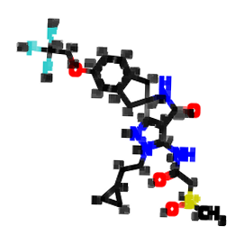 C[S+]([O-])CC(=O)Nc1c2c(nn1CCC1CC1)C1(Cc3ccc(OCC(F)(F)F)cc3C1)NC2=O